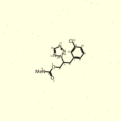 CNC(=O)OCC(Cc1cccc(Cl)c1)n1ncnn1